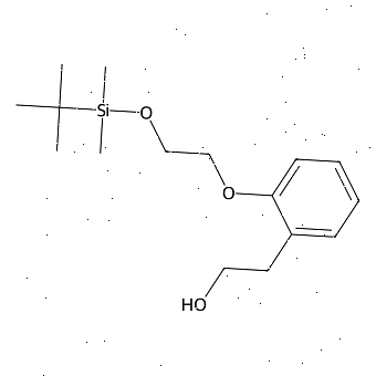 CC(C)(C)[Si](C)(C)OCCOc1ccccc1CCO